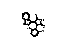 O=C1NC(=O)C(c2c[nH]c3ccccc23)=C1c1c(Cl)cccc1Cl